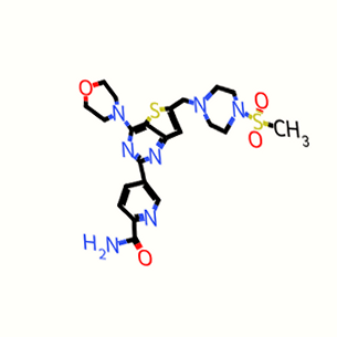 CS(=O)(=O)N1CCN(Cc2cc3nc(-c4ccc(C(N)=O)nc4)nc(N4CCOCC4)c3s2)CC1